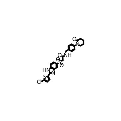 O=C(CS(=O)(=O)c1ccc2[nH]c(-c3ccc(Cl)s3)nc2c1)NCc1ccc(N2CCCCC2=O)cc1